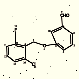 O=Cc1cccc(OCc2c(F)cccc2Cl)c1